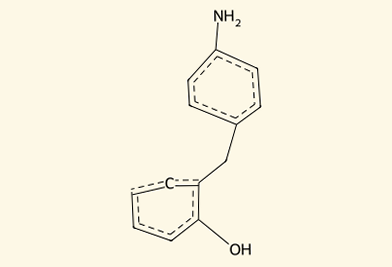 Nc1ccc(Cc2ccccc2O)cc1